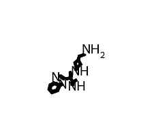 CC(=N)/C(=C\NC1CC(CCN)C1)c1cnc2ccccc2n1